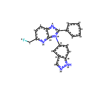 FCc1ccc2nc(-c3ccccc3)n(-c3ccc4[nH]ncc4c3)c2n1